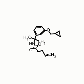 C=CCCS(=O)(=O)NC(C)(C)c1cccc(OCC2CC2)c1